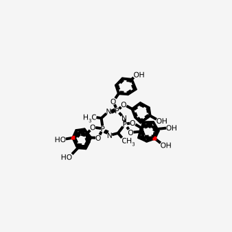 CC1N=P(Oc2ccc(O)cc2)(Oc2ccc(O)cc2)N=P(Oc2ccc(O)cc2)(Oc2ccc(O)cc2)C(C)N=P1(Oc1ccc(O)cc1)Oc1ccc(O)cc1